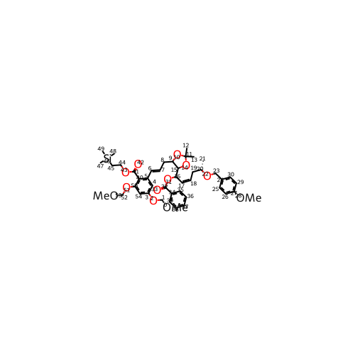 COCOc1cc(/C=C/CC2OC(C)(C)OC2C(/C=C\C[C@H](C)OCc2ccc(OC)cc2)OC(=O)c2ccccc2)c(C(=O)OCC[Si](C)(C)C)c(OCOC)c1